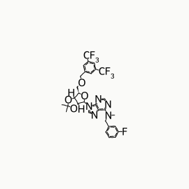 CN(Cc1cccc(F)c1)c1ncnc2c1ncn2[C@@H]1O[C@H](COCc2cc(C(F)(F)F)cc(C(F)(F)F)c2)[C@H]2OC(C)(C)O[C@H]21